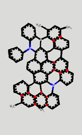 Cc1cc(C)c(B2c3ccccc3N(c3ccccc3)c3c2c(-c2ccccc2-c2ccccc2)c2ccc4c5c(c(-c6ccccc6-c6ccccc6)c6ccc3c2c64)B(c2c(C)cc(C)cc2C)c2ccccc2N5c2ccccc2)c(C)c1